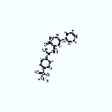 NS(=O)(=O)c1ccc(C(=O)Nc2cc(-c3ccncc3)c[nH]c2=O)cc1